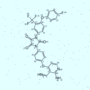 N=Cc1c(Oc2ccc(N3C(=O)C(=O)N(c4ccc(Oc5ccc(F)cc5)c(C(F)(F)F)c4)C3=O)cc2)ccnc1N